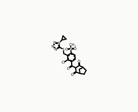 CS(=O)(=O)c1ccc(C(=O)C2C(=O)C3CCC(C3)C2=O)c(Cl)c1CSc1nnnn1C1CC1